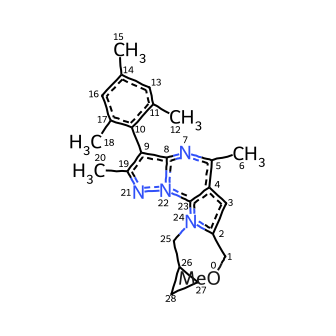 COCc1cc2c(C)nc3c(-c4c(C)cc(C)cc4C)c(C)nn3c2n1CC1CC1